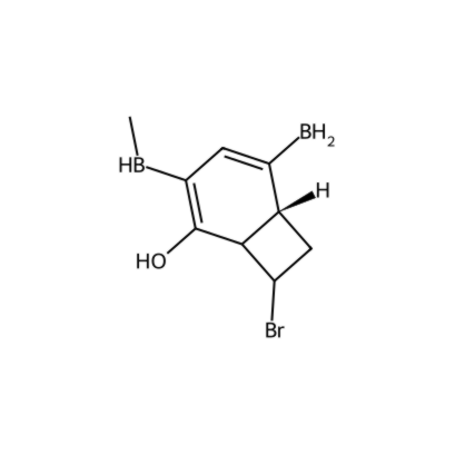 BC1=CC(BC)=C(O)C2C(Br)C[C@@H]12